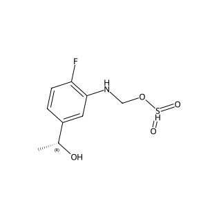 C[C@@H](O)c1ccc(F)c(NCO[SH](=O)=O)c1